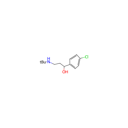 CC(C)(C)NCCC(O)c1ccc(Cl)cc1